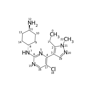 CCc1c(-c2nc(N[C@H]3CC[C@H](N)CC3)ncc2Cl)cnn1C